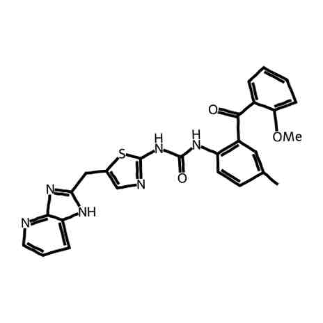 COc1ccccc1C(=O)c1cc(C)ccc1NC(=O)Nc1ncc(Cc2nc3ncccc3[nH]2)s1